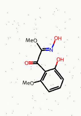 COC(=NO)C(=O)c1c(O)cccc1OC